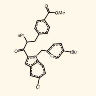 CCCC(Cc1ccc(C(=O)OC)cc1)C(=O)c1cc2cc(Cl)ccc2n1Cc1ccc(C(C)(C)C)cc1